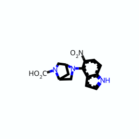 O=C(O)N1CC2CC1CN2c1c([N+](=O)[O-])ccc2[nH]ccc12